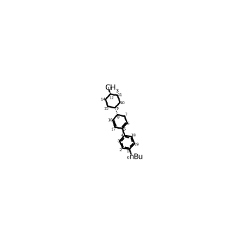 CCCCc1ccc(C2=CCC([C@H]3CC[C@H](C)CC3)C=C2)cc1